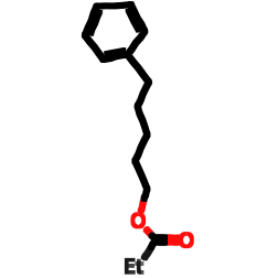 CCC(=O)OCCCCCc1ccccc1